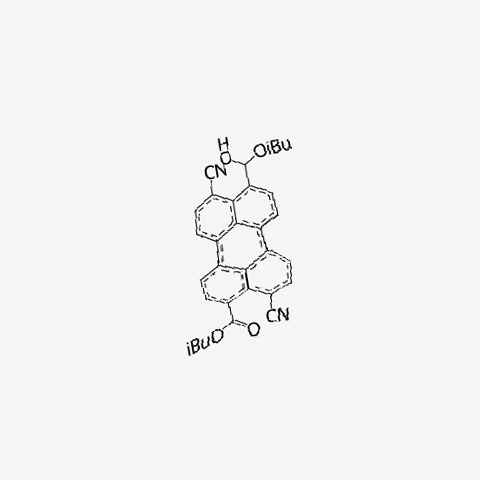 CC(C)COC(=O)c1ccc2c3ccc(C#N)c4c(C(O)OCC(C)C)ccc(c5ccc(C#N)c1c25)c43